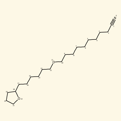 N#CCCCCCCCCCOCCCCCCC1CCCO1